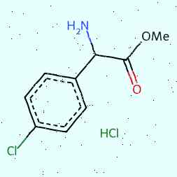 COC(=O)C(N)c1ccc(Cl)cc1.Cl